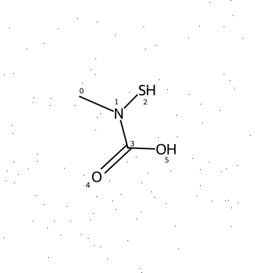 CN(S)C(=O)O